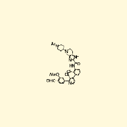 COc1cc(-c2nccc(-c3cccc(NC(=O)c4nc5c(n4C)CCN(C4CCN(C(C)=O)CC4)C5)c3Cl)c2Cl)ccc1C=O